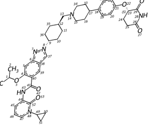 CC(C)Oc1cc2nn([C@H]3CC[C@H](CN4CCC(c5ccc(O[C@H]6CCC(=O)NC6=O)cc5)CC4)CC3)cc2cc1C(=O)Nc1cccn(C2CC2)c1=O